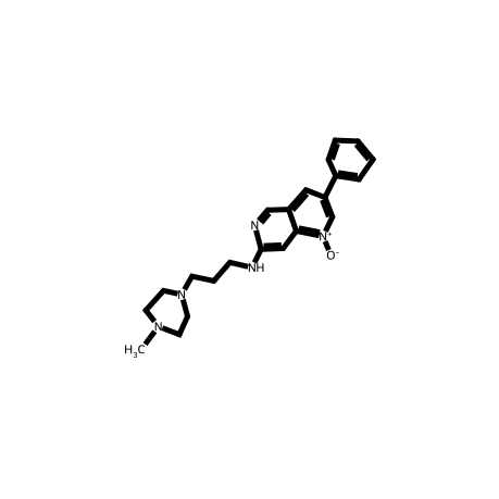 CN1CCN(CCCNc2cc3c(cn2)cc(-c2ccccc2)c[n+]3[O-])CC1